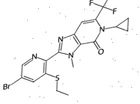 CCSc1cc(Br)cnc1-c1nc2cc(C(F)(F)F)n(C3CC3)c(=O)c2n1C